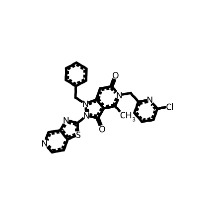 Cc1c2c(=O)n(-c3nc4cnccc4s3)n(Cc3ccccc3)c2cc(=O)n1Cc1cccc(Cl)n1